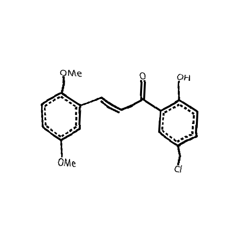 COc1ccc(OC)c(/C=C/C(=O)c2cc(Cl)ccc2O)c1